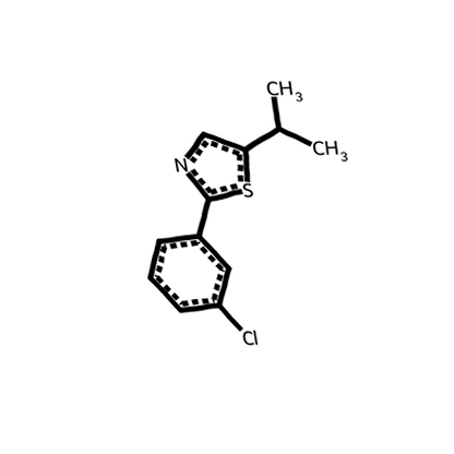 CC(C)c1cnc(-c2cccc(Cl)c2)s1